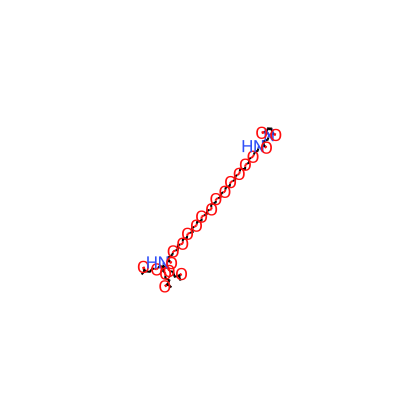 CC(=O)CCOCC(COCCC(C)=O)(COCCC(C)=O)NC(=O)CCOCCOCCOCCOCCOCCOCCOCCOCCOCCOCCOCCOCCNC(=O)CCN1C(=O)C=CC1=O